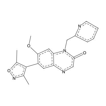 COc1cc2c(cc1-c1c(C)noc1C)ncc(=O)n2Cc1ccccn1